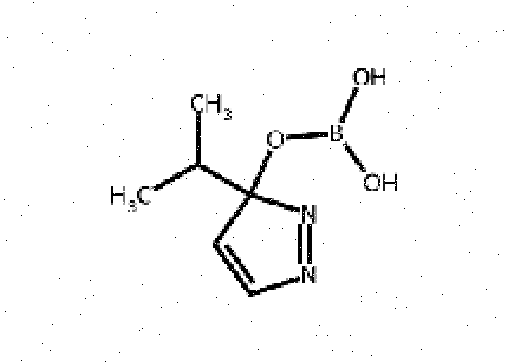 CC(C)C1(OB(O)O)C=CN=N1